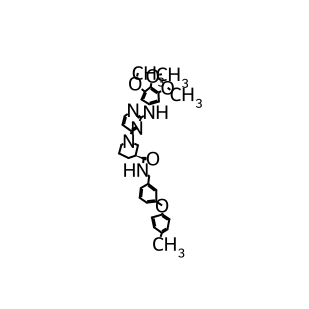 COc1cc(Nc2nccc(N3CCC[C@H](C(=O)NCc4cccc(Oc5ccc(C)cc5)c4)C3)n2)cc(OC)c1OC